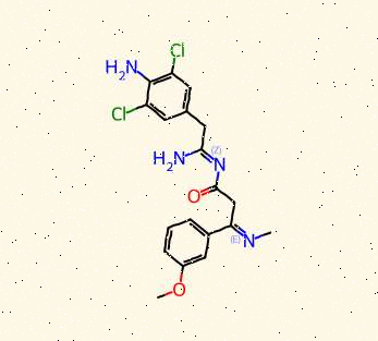 C/N=C(\CC(=O)/N=C(\N)Cc1cc(Cl)c(N)c(Cl)c1)c1cccc(OC)c1